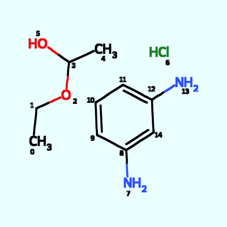 CCOC(C)O.Cl.Nc1cccc(N)c1